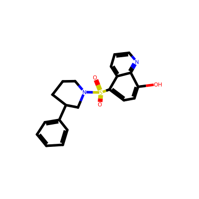 O=S(=O)(c1ccc(O)c2ncccc12)N1CCCC(c2ccccc2)C1